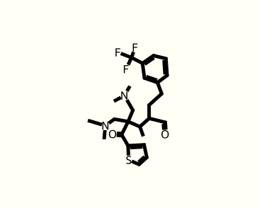 CC(C(C=O)CCc1cccc(C(F)(F)F)c1)C(CN(C)C)(CN(C)C)C(=O)c1cccs1